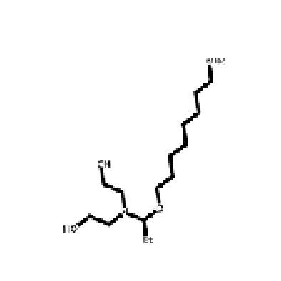 CCCCCCCCCCCCCCCCCCOC(CC)N(CCO)CCO